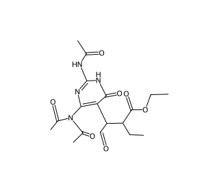 CCOC(=O)C(CC)C(C=O)c1c(N(C(C)=O)C(C)=O)nc(NC(C)=O)[nH]c1=O